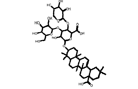 CC1(C)CCC2(C(=O)O)CCC3(C)C(=CCC4C5(C)CCC(OC6OC(C(=O)O)C(OC7OCC(O)C(O)C7O)C(OC7OC(CO)C(O)C(O)C7O)C6O)C(C)(C)C5CCC43C)C2C1